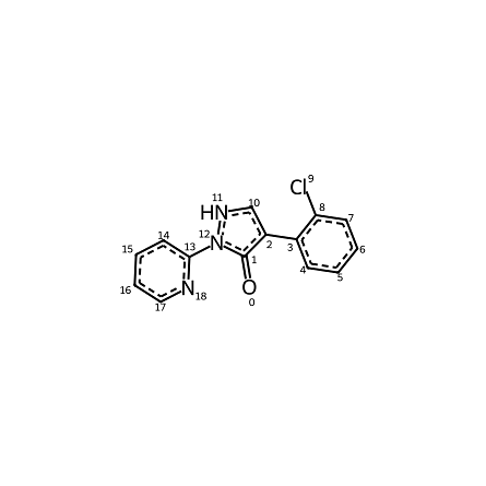 O=c1c(-c2ccccc2Cl)c[nH]n1-c1ccccn1